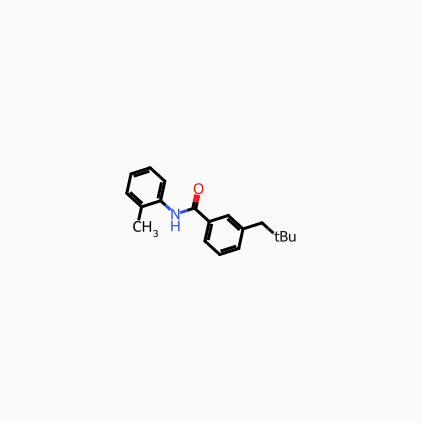 Cc1ccccc1NC(=O)c1cccc(CC(C)(C)C)c1